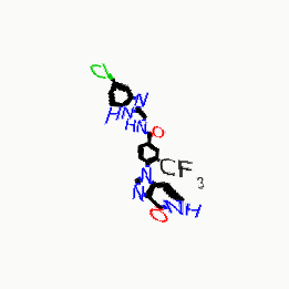 O=C(NCc1nc2cc(Cl)ccc2[nH]1)c1ccc(-n2cnc3c(=O)[nH]ccc32)c(C(F)(F)F)c1